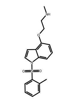 CNCCOc1cccc2c1ccn2S(=O)(=O)c1ccccc1C